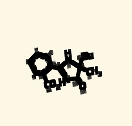 CCC(C)C1(C)NC(c2ncccc2C(=O)O)=NC1=O